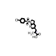 C/C(=C\c1cnc2c(c1)CCN2S(=O)(=O)c1ccc(Cl)cc1)C(=O)O